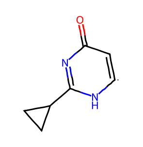 O=c1c[c][nH]c(C2CC2)n1